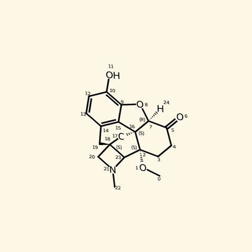 CO[C@@]12CCC(=O)[C@@H]3Oc4c(O)ccc5c4[C@@]31C[C@@]1(C5)CN(C)C12